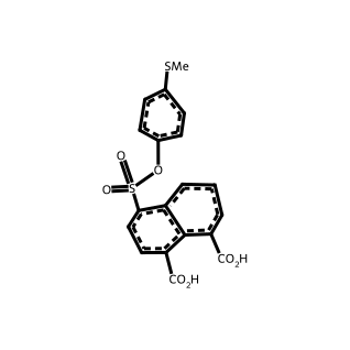 CSc1ccc(OS(=O)(=O)c2ccc(C(=O)O)c3c(C(=O)O)cccc23)cc1